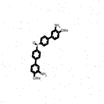 COc1ccc(-c2ccc([S+]([O-])c3ccc(-c4ccc(OC)c(N)c4)cc3)cc2)cc1N